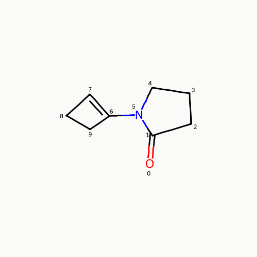 O=C1CCCN1C1=CCC1